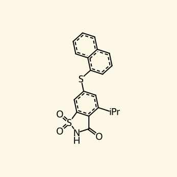 CC(C)c1cc(Sc2cccc3ccccc23)cc2c1C(=O)NS2(=O)=O